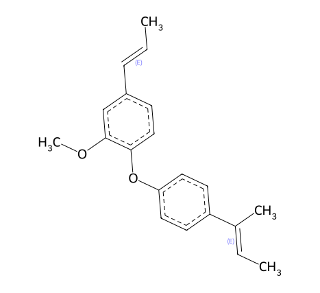 C/C=C/c1ccc(Oc2ccc(/C(C)=C/C)cc2)c(OC)c1